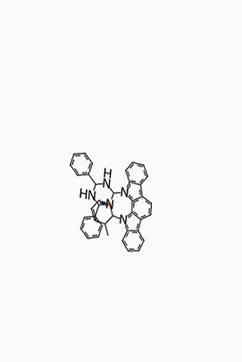 CC1C=CC=CC1n1c2ccccc2c2ccc3c4ccccc4n(C4N=C(c5ccccc5)NC(c5ccccc5)N4)c3c21